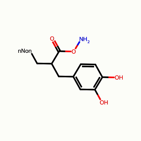 CCCCCCCCCCC(Cc1ccc(O)c(O)c1)C(=O)ON